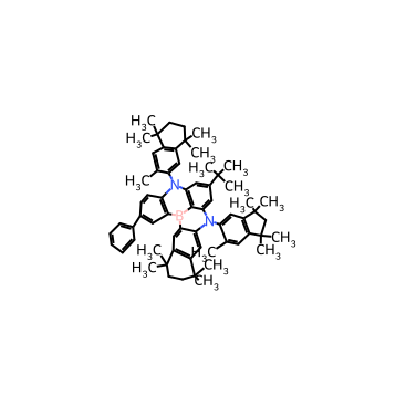 Cc1cc2c(cc1N1c3ccc(-c4ccccc4)cc3B3c4cc5c(cc4N(c4cc6c(cc4C)C(C)(C)CC6(C)C)c4cc(C(C)(C)C)cc1c43)C(C)(C)CCC5(C)C)C(C)(C)CCC2(C)C